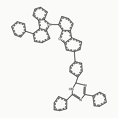 c1ccc(C2=NC(c3ccc(-c4ccc5c(c4)oc4c(-n6c7ccccc7c7c(-c8ccccc8)cccc76)cccc45)cc3)NC(c3ccccc3)=N2)cc1